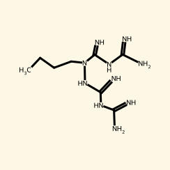 CCCCN(NC(=N)NC(=N)N)C(=N)NC(=N)N